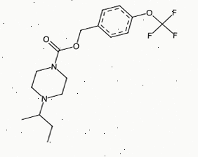 [CH2]CC(C)N1CCN(C(=O)OCc2ccc(OC(F)(F)F)cc2)CC1